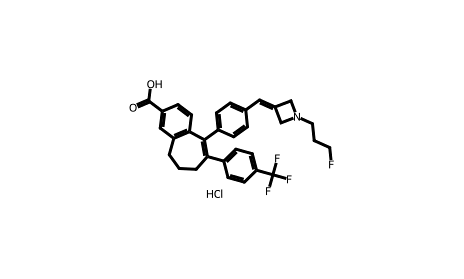 Cl.O=C(O)c1ccc2c(c1)CCCC(c1ccc(C(F)(F)F)cc1)=C2c1ccc(C=C2CN(CCCF)C2)cc1